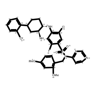 COc1ccc(CN(c2ccncn2)S(=O)(=O)c2cc(Cl)c(N[C@H]3CCC(c4ccccc4C(F)(F)F)C[C@@H]3N)cc2F)c(OC)c1